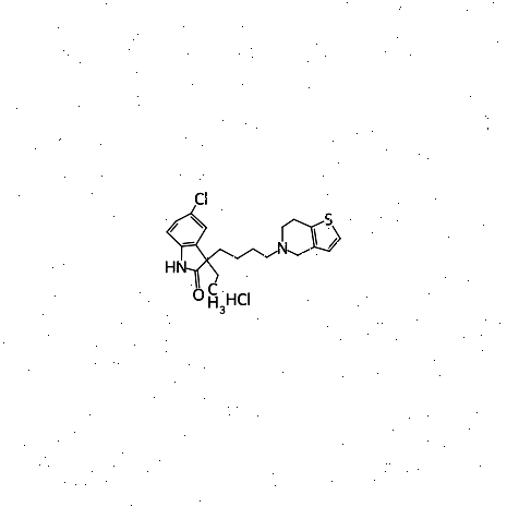 CCC1(CCCCN2CCc3sccc3C2)C(=O)Nc2ccc(Cl)cc21.Cl